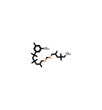 Cc1cc(C(C)(C)C)cc(C(C)(C)CC(C)(C)CC(C)CSCSCC(C)CC(C)(C)CC(C)(C)C)c1